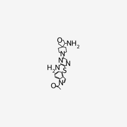 CC(=O)n1ccc2c(Sc3ncc(N4CCC5(CC4)COCC5N)nc3N)cccc21